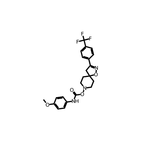 COc1ccc(NC(=O)ON2CCC3(CC2)CC(c2ccc(C(F)(F)F)cc2)=NO3)cc1